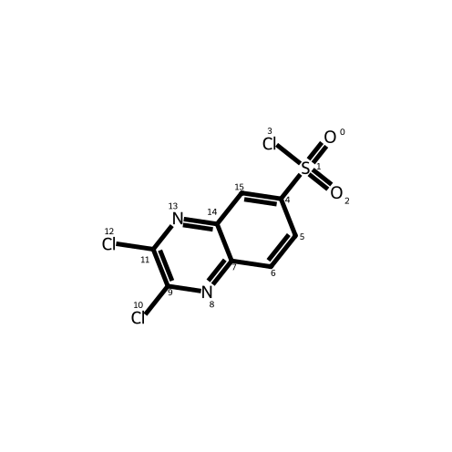 O=S(=O)(Cl)c1ccc2nc(Cl)c(Cl)nc2c1